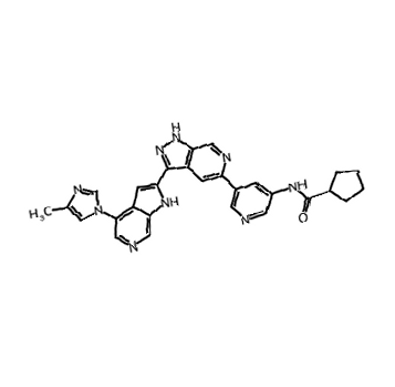 Cc1cn(-c2cncc3[nH]c(-c4n[nH]c5cnc(-c6cncc(NC(=O)C7CCCC7)c6)cc45)cc23)cn1